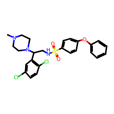 CN1CCN(C(CNS(=O)(=O)c2ccc(Oc3ccccc3)cc2)c2cc(Cl)ccc2Cl)CC1